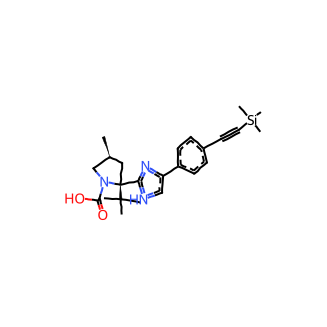 C[C@@H]1CN(C(=O)O)[C@](c2nc(-c3ccc(C#C[Si](C)(C)C)cc3)c[nH]2)(C(C)(C)C)C1